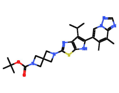 Cc1c(-c2[nH]c3sc(N4CC5(CN(C(=O)OC(C)(C)C)C5)C4)nc3c2C(C)C)cn2ncnc2c1C